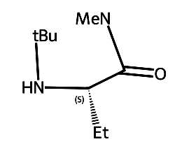 CC[C@H](NC(C)(C)C)C(=O)NC